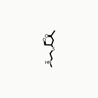 CNCCSC(C=O)CC(C)=O